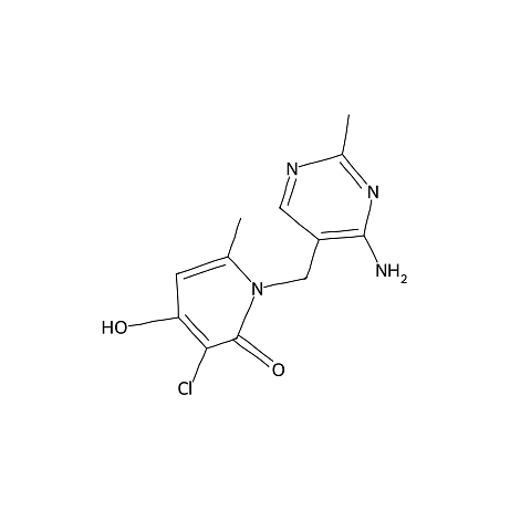 Cc1ncc(Cn2c(C)cc(O)c(Cl)c2=O)c(N)n1